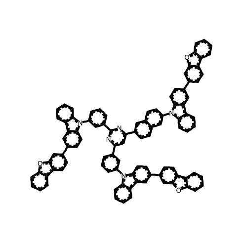 c1cc(-c2cc(-c3ccc4cc(-n5c6ccccc6c6cc(-c7ccc8c(c7)oc7ccccc78)ccc65)ccc4c3)nc(-c3cccc(-n4c5ccccc5c5cc(-c6ccc7c(c6)oc6ccccc67)ccc54)c3)n2)cc(-n2c3ccccc3c3cc(-c4ccc5c(c4)oc4ccccc45)ccc32)c1